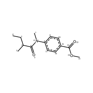 CCC(C)C(=O)N(C)c1ccc(C(=O)OC)cc1